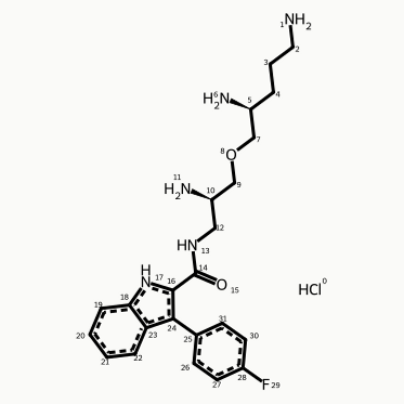 Cl.NCCC[C@H](N)COC[C@H](N)CNC(=O)c1[nH]c2ccccc2c1-c1ccc(F)cc1